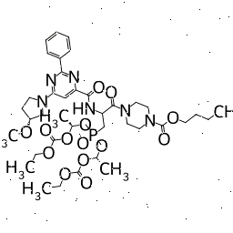 CCCCOC(=O)N1CCN(C(=O)C(CP(=O)(OC(C)OC(=O)OCC)O[C@H](C)OC(=O)OCC)NC(=O)c2cc(N3CC[C@H](OC)C3)nc(-c3ccccc3)n2)CC1